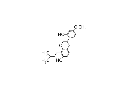 COc1ccc(C2COc3c(ccc(O)c3CC=C(C)C)C2)c(O)c1